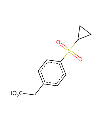 O=C(O)Cc1ccc(S(=O)(=O)C2CC2)cc1